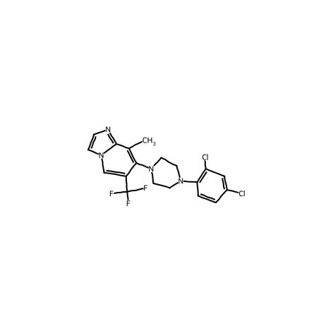 Cc1c(N2CCN(c3ccc(Cl)cc3Cl)CC2)c(C(F)(F)F)cn2ccnc12